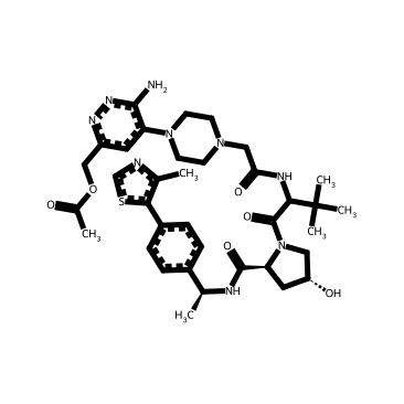 CC(=O)OCc1cc(N2CCN(CC(=O)NC(C(=O)N3C[C@H](O)C[C@H]3C(=O)N[C@@H](C)c3ccc(-c4scnc4C)cc3)C(C)(C)C)CC2)c(N)nn1